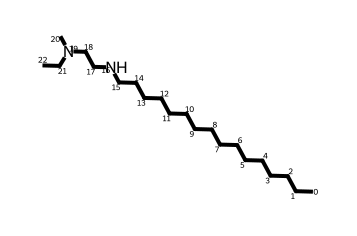 CCCCCCCCCCCCCCCCNCCN(C)CC